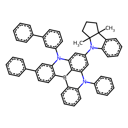 CC12CCCC1(C)N(c1cc3c4c(c1)N(c1cccc(-c5ccccc5)c1)c1cc(-c5ccccc5)ccc1B4c1ccccc1N3c1ccccc1)c1ccccc12